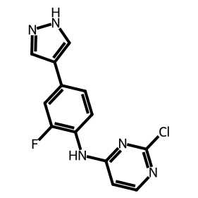 Fc1cc(-c2cn[nH]c2)ccc1Nc1ccnc(Cl)n1